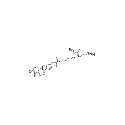 CC(C)(C)OC(=O)N(CCCCCCCC(=O)NCc1ccc2c(c1)CN(C1CCC(=O)NC1=O)C2=O)CCCN=[N+]=[N-]